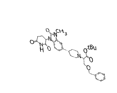 Cn1c(=O)n(C2CCC(=O)NC2=O)c2ccc(C3CCN(C(COCc4ccccc4)C(=O)OC(C)(C)C)CC3)cc21